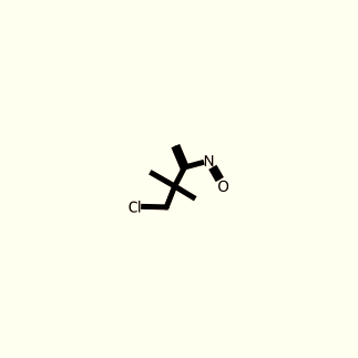 C=C(N=O)C(C)(C)CCl